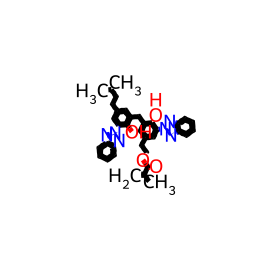 C=C(C)C(=O)OCCc1cc(Cc2cc(CCC(C)C)cc(-n3nc4ccccc4n3)c2O)c(O)c(-n2nc3ccccc3n2)c1